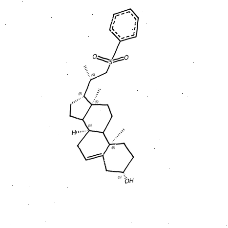 C[C@H](CS(=O)(=O)c1ccccc1)[C@H]1CCC2[C@@H]3CC=C4C[C@@H](O)CC[C@]4(C)C3CC[C@@]21C